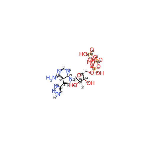 Cn1cc(-c2cn([C@@H]3O[C@H](COP(=O)(O)OP(=O)(O)OP(=O)(O)O)[C@@H](O)[C@@]3(C)O)c3ncnc(N)c23)nn1